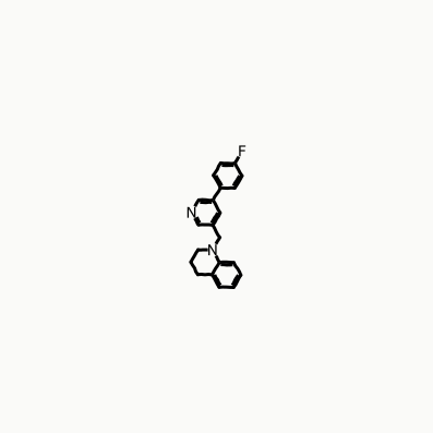 Fc1ccc(-c2cncc(CN3CCCc4ccccc43)c2)cc1